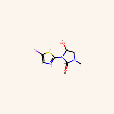 CN1CC(O)N(c2ncc(I)s2)C1=O